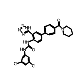 O=C(Nc1cc(Cl)cc(Cl)c1)Nc1ccc(-c2ccc(C(=O)N3CCCCC3)cc2)cc1-c1nnn[nH]1